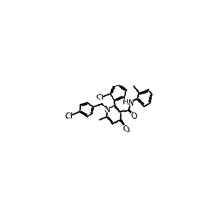 Cc1ccccc1NC(=O)c1c(-c2ccccc2Cl)n(Cc2ccc(Cl)cc2)c(C)cc1=O